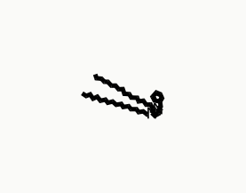 CCCCCCCCCCCCCCCCCC[n+]1ccn(Cc2ccccc2)c1CCCCCCCCCCCCCCCCC